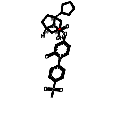 CS(=O)(=O)c1ccc(-n2ccc(O[C@H]3C[C@@H]4CC[C@](C5CCCC5)(C3)N4C(=O)O)cc2=O)cc1